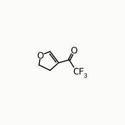 O=C(C1=COCC1)C(F)(F)F